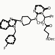 CCCCCCCCCCCCC(=O)OC(C(C)C)n1c(N(C)C2CCN(c3nc4ccccc4n3Cc3ccc(F)cc3)CC2)nccc1=O